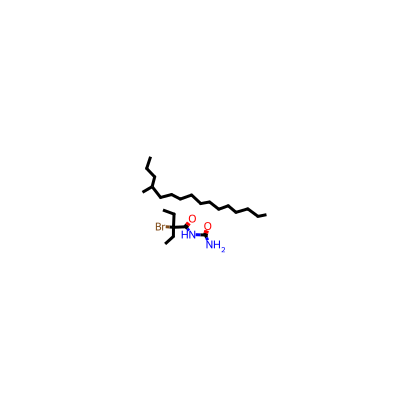 CCC(Br)(CC)C(=O)NC(N)=O.CCCCCCCCCCCCC(C)CCC